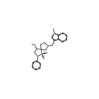 Cn1cc(CN2CCC3(C2)C(O)CN(c2ccccc2)S3(=O)=O)c2ccccc21